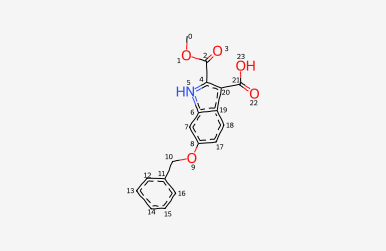 COC(=O)c1[nH]c2cc(OCc3ccccc3)ccc2c1C(=O)O